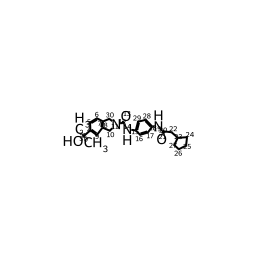 CC(C)(O)c1ccc2c(c1)CN(C(=O)Nc1ccc(NC(=O)CC3CCCC3)cc1)C2